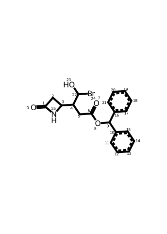 O=C1CC(C(CC(=O)OC(c2ccccc2)c2ccccc2)C(O)Br)N1